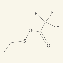 CCSOC(=O)C(F)(F)F